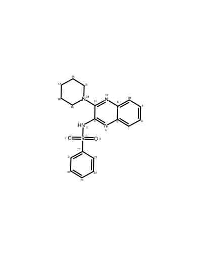 O=S(=O)(Nc1nc2ccccc2nc1N1CCCCC1)c1ccccc1